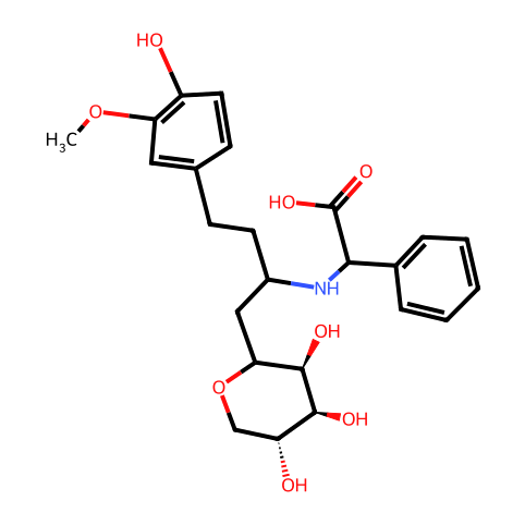 COc1cc(CCC(CC2OC[C@@H](O)[C@H](O)[C@@H]2O)NC(C(=O)O)c2ccccc2)ccc1O